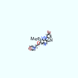 COc1cc2c(Nc3cccc(Br)c3)c(C#N)cnc2cc1OCCCN1CCOCC1